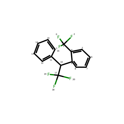 FC(F)(F)c1ccccc1C(c1ccccc1)C(F)(F)F